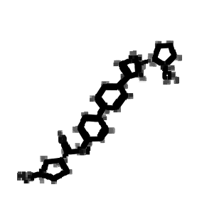 BN1CC[C@@H](C(=O)Nc2ccc(-c3ccc(-c4c[nH]c([C@@H]5CCCN5C)n4)cc3)cc2)C1